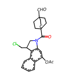 CC(=O)Oc1cc2c(c3ccccc13)C(CCl)CN2C(=O)C12CCC(C=O)(CC1)CC2